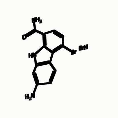 Br.NC(=O)c1ccc(Br)c2c1[nH]c1cc(N)ccc12